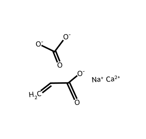 C=CC(=O)[O-].O=C([O-])[O-].[Ca+2].[Na+]